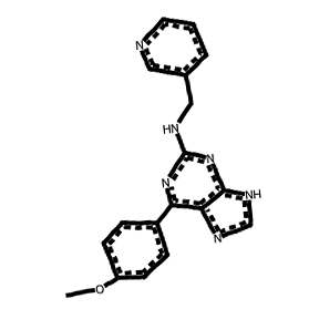 COc1ccc(-c2nc(NCc3cccnc3)nc3[nH]cnc23)cc1